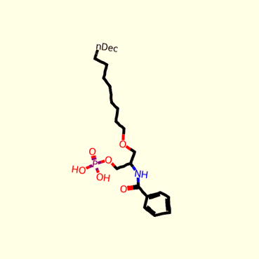 CCCCCCCCCCCCCCCCCCOCC(COP(=O)(O)O)NC(=O)c1ccccc1